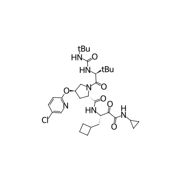 CC(C)(C)NC(=O)N[C@H](C(=O)N1C[C@H](Oc2ccc(Cl)cn2)C[C@H]1C(=O)N[C@@H](CC1CCC1)C(=O)C(=O)NC1CC1)C(C)(C)C